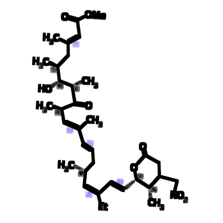 CCC(=C/[C@H](C)C/C=C/C(C)=C/[C@@H](C)C(=O)[C@@H](C)[C@H](O)[C@@H](C)C/C(C)=C/C(=O)OC)/C=C/[C@@H]1OC(=O)CC(C[N+](=O)[O-])[C@@H]1C